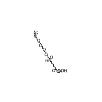 [N-]=[N+]=NCCOCCOCCOCCOCCC(=O)NCCCCCC(=O)N1CC[C@@H](O)C1